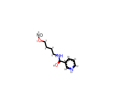 O=NOCCCCNC(=O)c1cccnc1